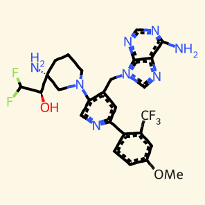 COc1ccc(-c2cc(Cn3cnc4c(N)ncnc43)c(N3CCC[C@](N)([C@@H](O)C(F)F)C3)cn2)c(C(F)(F)F)c1